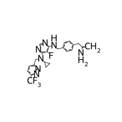 C=C(N)Cc1ccc(CNc2ncnc(N(Cc3ccc(C(F)(F)F)nn3)C3CC3)c2F)cc1